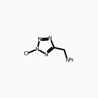 CCCCc1nnn(Cl)n1